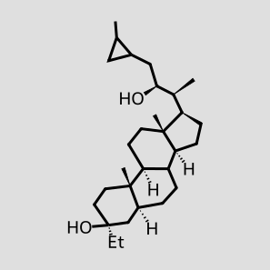 CC[C@]1(O)CC[C@@]2(C)[C@@H](CCC3[C@@H]2CC[C@]2(C)[C@@H]([C@H](C)[C@@H](O)CC4CC4C)CC[C@@H]32)C1